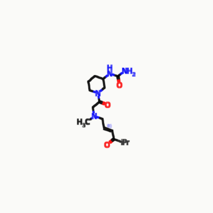 CC(C)C(=O)/C=C/CN(C)CC(=O)N1CCCC(NC(N)=O)C1